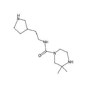 CC1(C)CN(C(=O)NCCC2CCNC2)CCN1